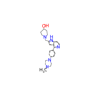 CN1CCN(c2ccc(-c3nccc4[nH]c(CN5CCC(O)CC5)cc34)cc2)CC1